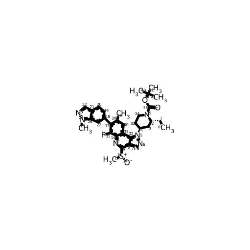 CC[C@@H]1C[C@@H](n2nnc3c([S+](C)[O-])nc4c(F)c(-c5ccc6cnn(C)c6c5)c(C)cc4c32)CCN1C(=O)OC(C)(C)C